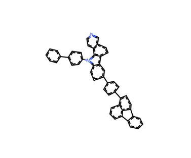 c1ccc(-c2ccc(-n3c4ccc(-c5ccc(-c6ccc7c8c(cccc68)-c6ccccc6-7)cc5)cc4c4ccc5cnccc5c43)cc2)cc1